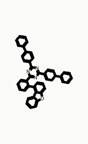 C1=CC(c2ccccc2)CC=C1c1nc(-c2ccc(-c3ccccc3)cc2)nc(-c2ccccc2-c2cccc3oc4ccccc4c23)n1